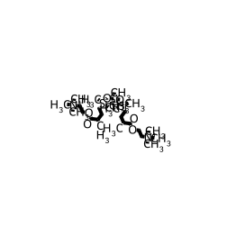 CC(CC[Si](C)(C)O[Si](C)(C)O[Si](C)(C)CCC(C)C(=O)OCC[N+](C)(C)C)C(=O)OCC[N+](C)(C)C